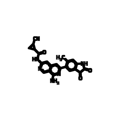 Cc1cc2c(cc1-c1cc3cc(NC(=O)C4CC4C#N)ncc3c(N)n1)C(=O)C(=O)N2